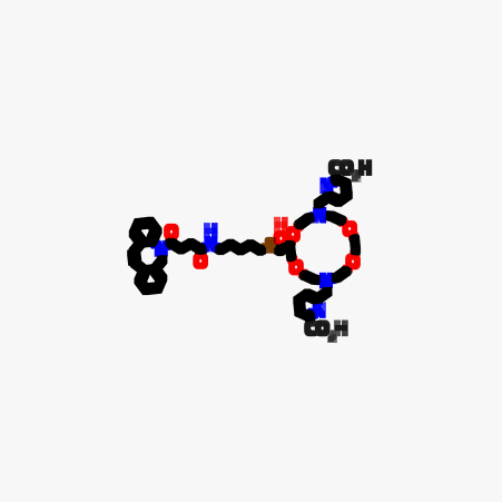 O=C(CCC(=O)N1Cc2ccccc2C#Cc2ccccc21)NCCCCCSC[C@@]1(O)COCCN(Cc2cccc(C(=O)O)n2)CCOCCOCCN(Cc2cccc(C(=O)O)n2)CCO1